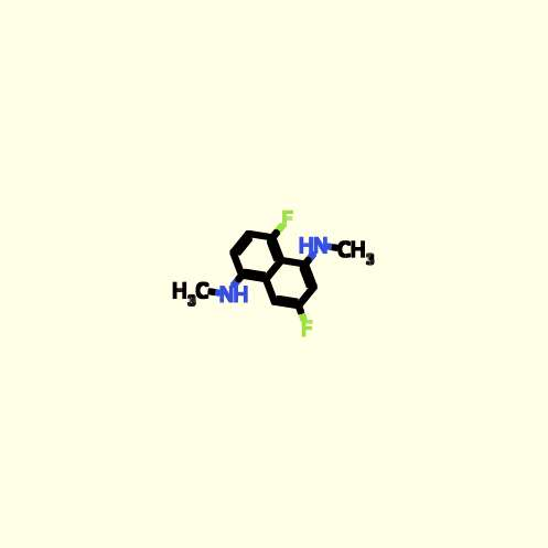 CNc1ccc(F)c2c(NC)cc(F)cc12